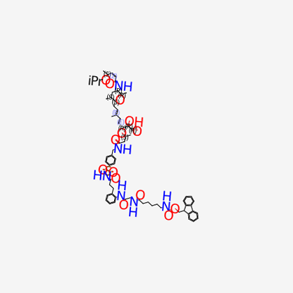 CC(/C=C/[C@H]1O[C@H](CC(=O)NCc2ccc(S(=O)(=O)NC(=O)CCc3ccccc3NC(=O)CNC(=O)CCCCCNC(=O)OCC3c4ccccc4-c4ccccc43)cc2)C[C@@]2(CO2)[C@@H]1O)=C\C[C@@H]1O[C@H](C)[C@H](NC(=O)/C=C\[C@H](C)OC(C)C)C[C@@H]1C